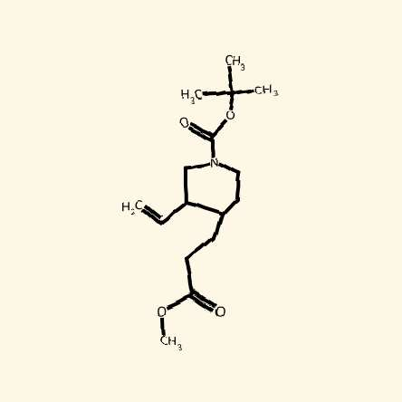 C=CC1CN(C(=O)OC(C)(C)C)CCC1CCC(=O)OC